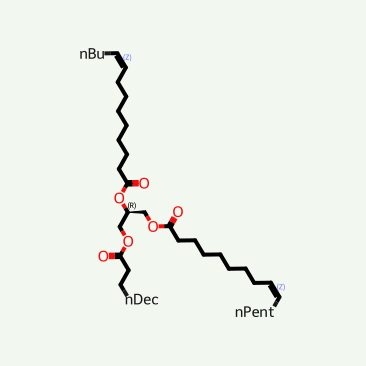 CCCC/C=C\CCCCCCCC(=O)O[C@@H](COC(=O)CCCCCCC/C=C\CCCCC)COC(=O)CCCCCCCCCCCC